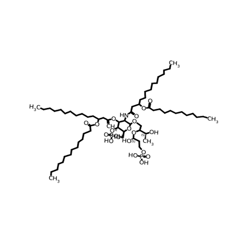 C=C(CC(CCCCCCCCCCC)OC(=O)CCCCCCCCCCCCC)OC1C(NC(=O)CC(CCCCCCCCCCC)OC(=O)CCCCCCCCCCC)C(OCC(O[C@H](O)CCOP(=O)(O)O)[C@H](C)O)OC(CO)C1OP(=O)(O)O